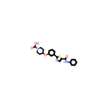 O=C(Nc1ccccc1)c1cnc(-c2cccc(OC3CCN(C(=O)O)CC3)c2)s1